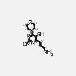 NC/C=C/c1nc(Cl)nc(N2CCOCC2)c1S